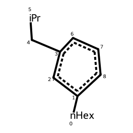 CCCCCCc1[c]c(CC(C)C)ccc1